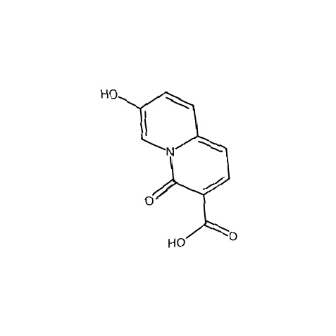 O=C(O)c1ccc2ccc(O)cn2c1=O